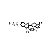 CCn1ncc2cc(-c3nc4ccc(OC(=O)O)cc4nc3N(C)C(C)C)ccc21